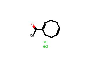 Cl.Cl.O=[C]([Co])C1=CCCC=CCC1